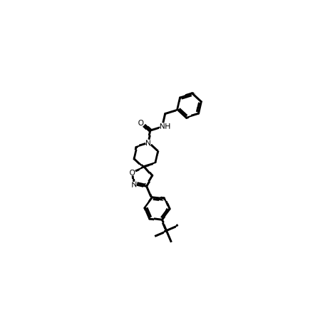 CC(C)(C)c1ccc(C2=NOC3(CCN(C(=O)NCc4ccccc4)CC3)C2)cc1